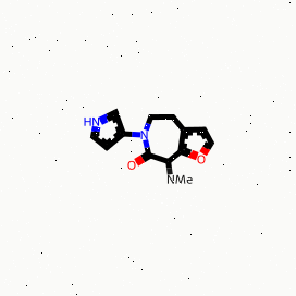 CNC1C(=O)N(c2cc[nH]c2)CCc2ccoc21